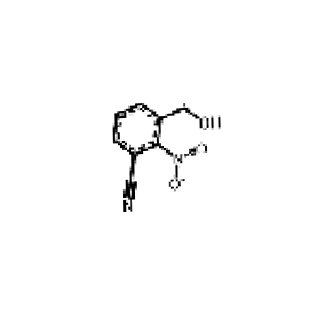 N#Cc1cccc([CH]O)c1[N+](=O)[O-]